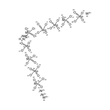 [NH4+].[NH4+].[Ni+2].[Ni+2].[O]=[Mo](=[O])([O-])[O-].[O]=[Mo](=[O])([O-])[O-].[O]=[Mo](=[O])([O-])[O-].[O]=[Mo](=[O])([O-])[O-].[O]=[Mo](=[O])([O-])[O-].[O]=[Mo](=[O])([O-])[O-].[O]=[Mo](=[O])([O-])[O-].[O]=[Mo](=[O])([O-])[O-].[O]=[Mo](=[O])([O-])[O-].[W+6].[W+6]